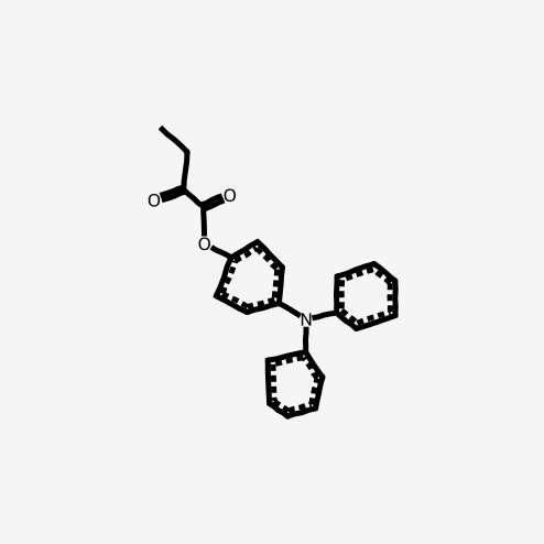 CCC(=O)C(=O)Oc1ccc(N(c2ccccc2)c2ccccc2)cc1